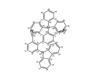 N#Cc1ccc(-c2c(C#N)cccc2-n2c3ccccc3c3ccccc32)cc1[Si](c1ccccc1)(c1ccccc1)c1ccccc1